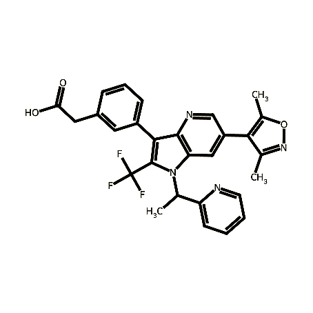 Cc1noc(C)c1-c1cnc2c(-c3cccc(CC(=O)O)c3)c(C(F)(F)F)n(C(C)c3ccccn3)c2c1